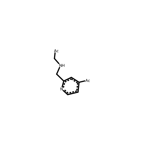 CC(=O)CNCc1cc(C(C)=O)ccn1